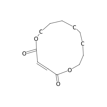 O=C1/C=C\C(=O)OCCCCCCCCO1